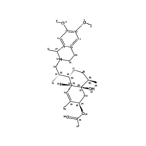 COc1cc2c(cc1OC)C(C)N(C[C@@H](C)[C@@H]1CC[C@@H](C)[C@]3(O)[C][C@@H](OC(C)=O)C(C)=C[C@H]13)CC2